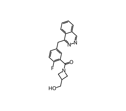 O=C(c1cc(Cc2nncc3ccccc23)ccc1F)N1CC(CO)C1